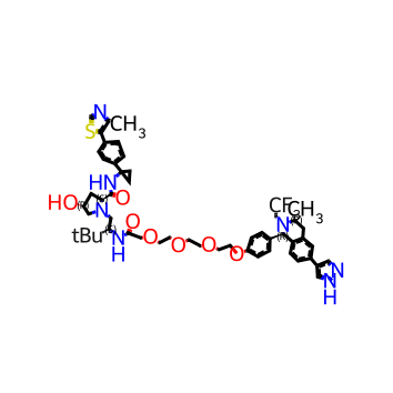 Cc1ncsc1-c1ccc(C2(NC(=O)[C@@H]3C[C@@H](O)CN3C[C@@H](NC(=O)COCCOCCOCCOc3ccc([C@@H]4c5ccc(-c6cn[nH]c6)cc5C[C@@H](C)N4CC(F)(F)F)cc3)C(C)(C)C)CC2)cc1